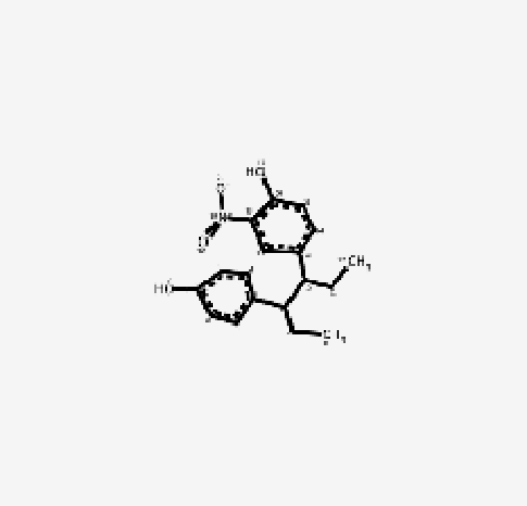 CCC(c1ccc(O)cc1)C(CC)c1ccc(O)c([N+](=O)[O-])c1